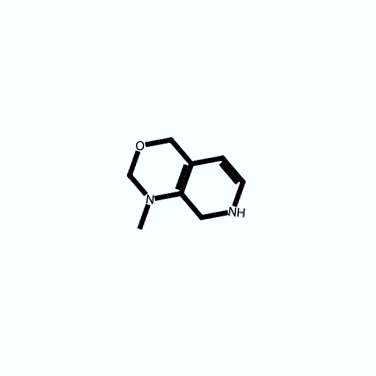 CN1COCC2=C1CNC=C2